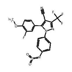 COc1ccc(-c2c(C#N)c(C(F)(F)F)nn2-c2ccc(N=S(=O)=O)cc2)cc1F